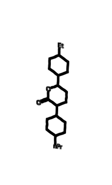 CCCC1CCC(C2CCC(C3CCC(CC)CC3)OC2=O)CC1